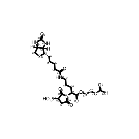 CCC(=O)OSSOC(=O)C(CCCNC(=O)CCCC[C@@H]1SC[C@@H]2NC(=O)N[C@@H]21)N1C(=O)CC(S(=O)(=O)O)C1=O